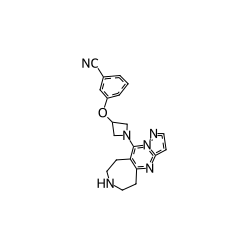 N#Cc1cccc(OC2CN(c3c4c(nc5ccnn35)CCNCC4)C2)c1